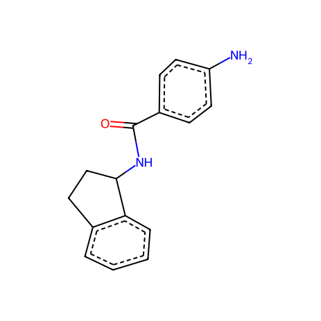 Nc1ccc(C(=O)NC2CCc3ccccc32)cc1